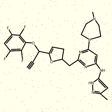 C#CC(Oc1c(F)c(F)cc(F)c1F)C1=CCC(Cc2nc(Nc3cc(C)n[nH]3)cc(N3CCN(C)CC3)n2)O1